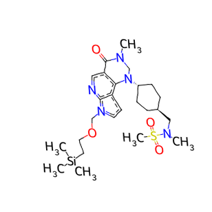 CN1CN([C@H]2CC[C@H](CN(C)S(C)(=O)=O)CC2)c2c(cnc3c2ccn3COCC[Si](C)(C)C)C1=O